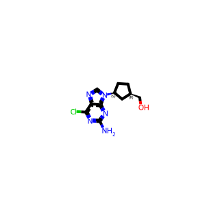 Nc1nc(Cl)c2ncn([C@H]3CC[C@@H](CO)C3)c2n1